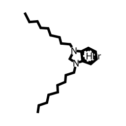 Br.CCCCCCCCCN1CN(CCCCCCCCC)c2ccccc21